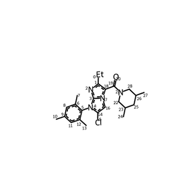 CCc1nc2n(-c3c(C)cc(C)cc3C)c(Cl)cn2c1C(=O)N1CC(C)CC(C)C1